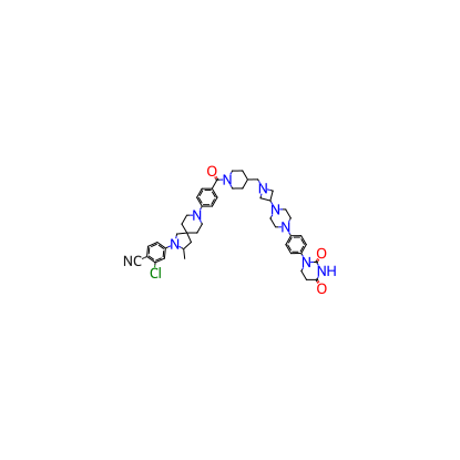 CC1CC2(CCN(c3ccc(C(=O)N4CCC(CN5CC(N6CCN(c7ccc(N8CCC(=O)NC8=O)cc7)CC6)C5)CC4)cc3)CC2)CN1c1ccc(C#N)c(Cl)c1